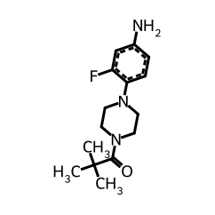 CC(C)(C)C(=O)N1CCN(c2ccc(N)cc2F)CC1